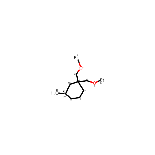 CCOCC1(COCC)CCC[C@@H](C)C1